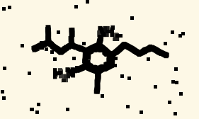 CCCCc1cc(C)c(N)c(C(C)CC(C)C)c1N